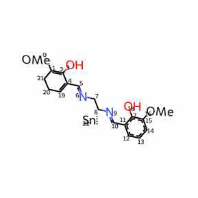 COC1=C(O)C(C=NCCN=Cc2cccc(OC)c2O)=CCC1.[Sn]